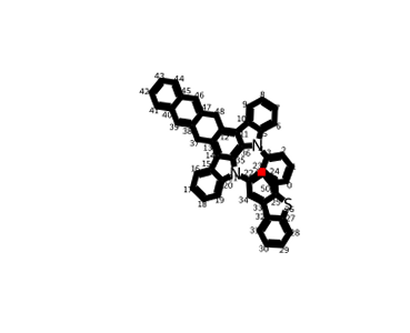 c1ccc(-n2c3ccccc3c3c4c(c5c6ccccc6n(-c6ccc7sc8ccccc8c7c6)c5c32)Cc2cc3ccccc3cc2C4)cc1